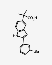 CC(C)(C)c1cccc(-c2cc3cc(C(C)(C)C(=O)O)ccc3[nH]2)c1